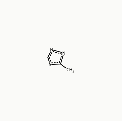 Cc1nncs1